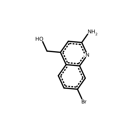 Nc1cc(CO)c2ccc(Br)cc2n1